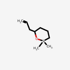 C=CCC1CCC[Si](C)(C)O1